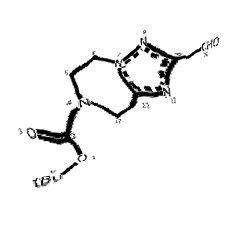 CC(C)(C)OC(=O)N1CCn2nc(C=O)nc2C1